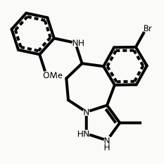 COc1ccccc1NC1CCN2NNC(C)=C2c2ccc(Br)cc21